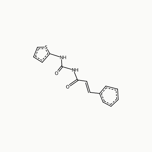 O=C(/C=C/c1ccccc1)NC(=O)Nc1cccs1